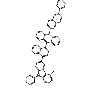 Cc1nccc2c1c1cc(-c3ccc(-c4c5ccccc5c(-c5ccc6cc(-c7ccccc7)ccc6c5)c5ccccc45)c4ccccc34)ccc1n2-c1ccccc1